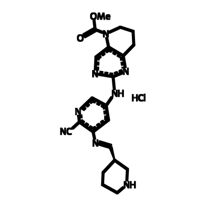 COC(=O)N1CCCc2nc(Nc3cnc(C#N)c(N=C[C@@H]4CCCNC4)c3)ncc21.Cl